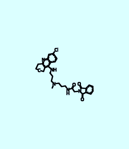 CN(CCCNC(=O)CN1C(=O)c2ccccc2C1=O)CCCNc1c2c(nc3cc(Cl)ccc13)CCCC2